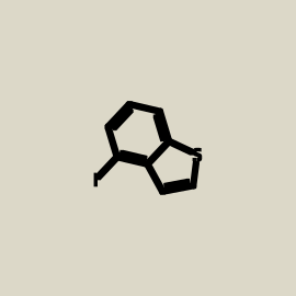 Ic1cccc2sccc12